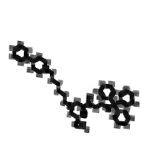 CCCN(CCCCCCN1CCC(c2ccccc2)CC1)CC(=O)NCCSC(c1ccccc1)(c1ccccc1)c1ccccc1